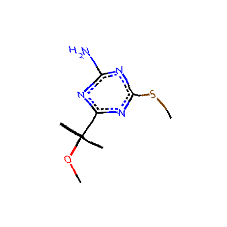 COC(C)(C)c1nc(N)nc(SC)n1